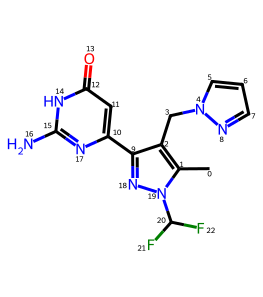 Cc1c(Cn2cccn2)c(-c2cc(=O)[nH]c(N)n2)nn1C(F)F